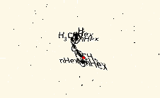 CCCCCCNC(=O)N(CCCCCC)C(C)COCCOCCOCC(C)N(CCCCCC)C(=O)NCCCCCC